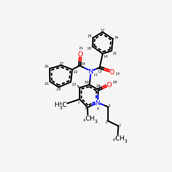 CCCCn1c(C)c(C)cc(N(C(=O)c2ccccc2)C(=O)c2ccccc2)c1=O